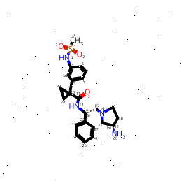 CS(=O)(=O)Nc1cccc(C2(C(=O)N[C@H](CN3CC[C@H](N)C3)c3ccccc3)CC2)c1